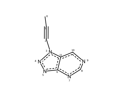 CC#Cn1nnc2ncncc21